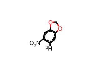 [2H]c1cc2c(cc1[N+](=O)[O-])OCO2